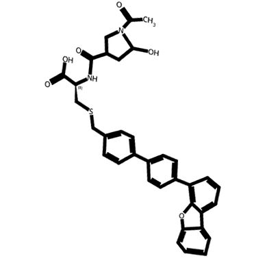 CC(=O)N1CC(C(=O)N[C@@H](CSCc2ccc(-c3ccc(-c4cccc5c4oc4ccccc45)cc3)cc2)C(=O)O)CC1O